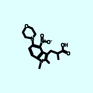 Cc1c(CC(C)C(=O)O)c2c([N+](=O)[O-])c(N3CCOCC3)ccc2n1C